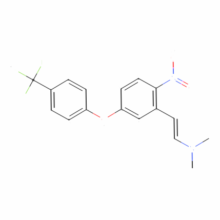 CN(C)/C=C/c1cc(Oc2ccc(C(F)(F)F)cc2)ccc1[N+](=O)[O-]